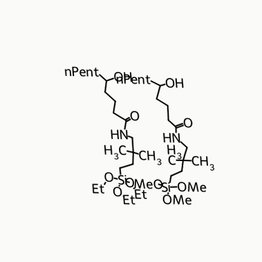 CCCCCC(O)CCCC(=O)NCC(C)(C)CC[Si](OC)(OC)OC.CCCCCC(O)CCCC(=O)NCC(C)(C)CC[Si](OCC)(OCC)OCC